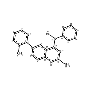 Cc1cccnc1-c1ccc2nc(N)nc(N(Br)c3ccccc3)c2c1